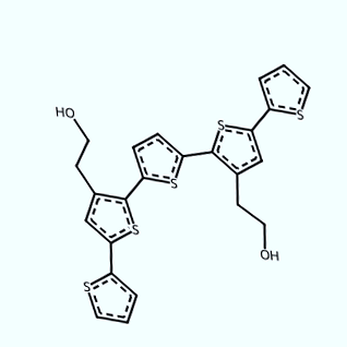 OCCc1cc(-c2cccs2)sc1-c1ccc(-c2sc(-c3cccs3)cc2CCO)s1